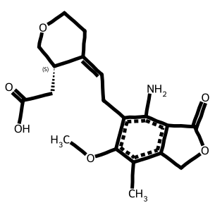 COc1c(C)c2c(c(N)c1CC=C1CCOC[C@H]1CC(=O)O)C(=O)OC2